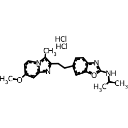 COc1ccn2c(C)c(CCc3ccc4nc(NC(C)C)oc4c3)nc2c1.Cl.Cl